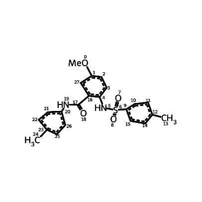 COc1ccc(NS(=O)(=O)c2ccc(C)cc2)c(C(=O)Nc2ccc(C)cc2)c1